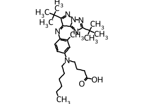 CCCCCCN(CCCC(=O)O)c1ccc(/N=C2/C(C(C)(C)C)=Nn3nc(C(C)(C)C)nc32)c(C)c1